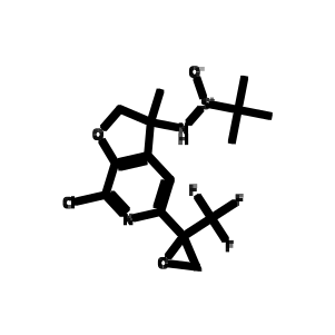 CC1(N[S+]([O-])C(C)(C)C)COc2c1cc(C1(C(F)(F)F)CO1)nc2Cl